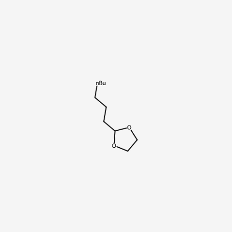 CCCCCCCC1OCCO1